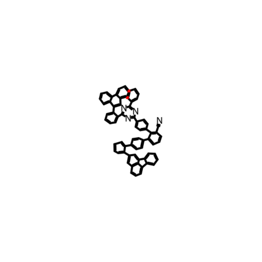 N#Cc1cccc(-c2ccc(-c3ccccc3-c3cc4c5c(cccc5c3)-c3ccccc3-4)cc2)c1-c1ccc(-c2nc(-c3ccccc3)nc(-c3ccccc3-c3cc4ccccc4c4ccccc34)n2)cc1